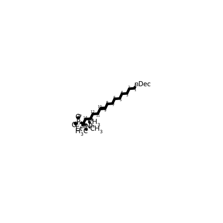 CCCCCCCCCCCCCCCCCCC=CCCCCC(CC)(P(=O)=O)[N+](C)(C)C